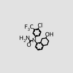 NC(=O)N(c1ccc(Cl)c(C(F)(F)F)c1)c1cccc2c1CC(O)CC2